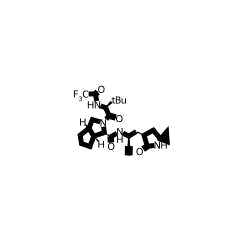 C#C[C@H](C[C@@H]1CC2(CC2)NC1=O)NC(=O)[C@@H]1[C@H]2CCC[C@H]2CN1C(=O)[C@@H](NC(=O)C(F)(F)F)C(C)(C)C